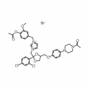 COc1cc(C[n+]2ccn(CC3(c4ccc(Cl)cc4Cl)OCC(COc4ccc(N5CCN(C(C)=O)CC5)cc4)O3)c2)ccc1OC(C)=O.[Br-]